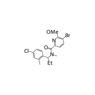 CCC(c1ccc(Cl)cc1C)N(C)C(=O)c1ccc(Br)c(OC)n1